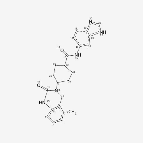 Cc1cccc2c1CN(C1CCC(C(=O)Nc3ccc4nc[nH]c4c3)CC1)C(=O)N2